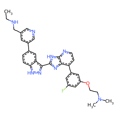 CCNCc1cncc(-c2ccc3[nH]nc(-c4nc5c(-c6cc(F)cc(OCCN(C)C)c6)ccnc5[nH]4)c3c2)c1